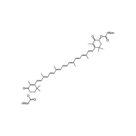 CCCCCCCCCC(=O)O[C@H]1CC(C)(C)C(/C=C/C(C)=C/C=C/C(C)=C/C=C/C=C(C)/C=C/C=C(C)/C=C/C2=C(C)C(=O)[C@@H](OC(=O)CCCCCCCCC)CC2(C)C)=C(C)C1=O